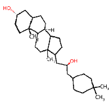 CC1(C)CCC(C[C@H](O)CC2CCC3[C@@H]4CCC5C[C@@H](O)CCC5(C)C4CCC23C)CC1